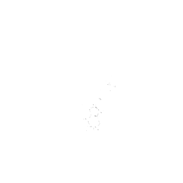 Cc1c2nc(Cl)ncc2nn1COCC[Si](C)(C)C